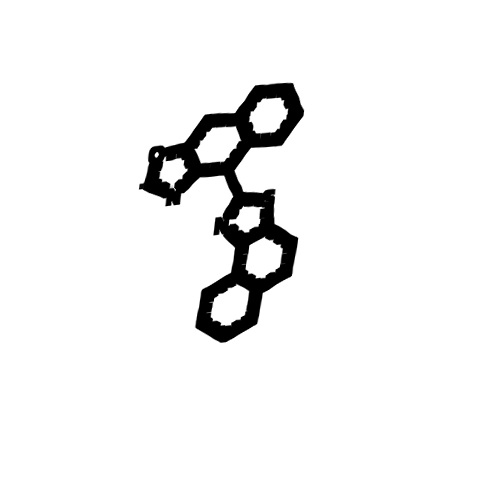 [c]1nc2c(-c3nc4c(ccc5ccccc54)s3)c3ccccc3cc2o1